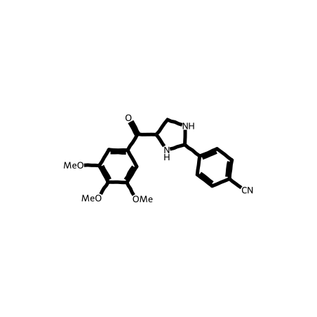 COc1cc(C(=O)C2CNC(c3ccc(C#N)cc3)N2)cc(OC)c1OC